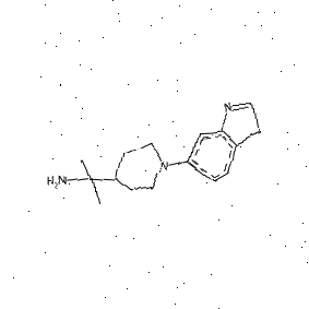 CC(C)(N)C1CCN(c2ccc3c(c2)N=CC3)CC1